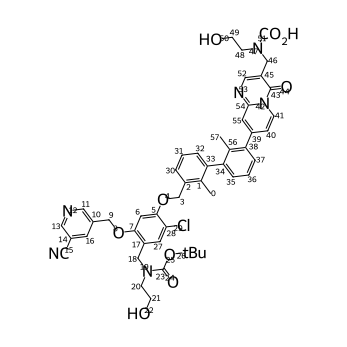 Cc1c(COc2cc(OCc3cncc(C#N)c3)c(CN(CCO)C(=O)OC(C)(C)C)cc2Cl)cccc1-c1cccc(-c2ccn3c(=O)c(CN(CCO)C(=O)O)cnc3c2)c1C